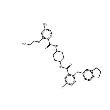 Cc1ccc(C(=O)NC2CCC(NC(=O)c3cc(F)cnc3Oc3ccc4c(c3)SCC4)CC2)c(OCCO)c1